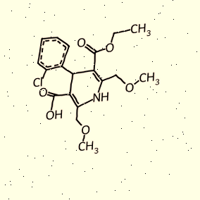 CCOC(=O)C1=C(COC)NC(COC)=C(C(=O)O)C1c1ccccc1Cl